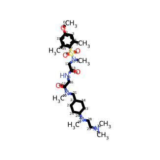 COc1cc(C)c(S(=O)(=O)N(C)CC(=O)NCC(=O)N(C)CC2CCC(N(C)CCN(C)C)CC2)c(C)c1